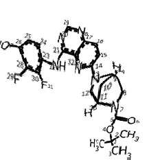 CC(C)(C)OC(=O)N1C[C@@H]2C[C@H]1CN2c1ccc2ncnc(Nc3ccc(O)c(F)c3F)c2n1